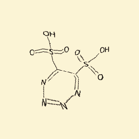 O=S(=O)(O)c1nnnnc1S(=O)(=O)O